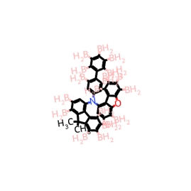 Bc1cc(N(c2cc(B)c(-c3c(B)c(B)c(B)c(B)c3B)c(B)c2)c2cc(B)c(B)c3oc4c(B)c(B)c(B)c(B)c4c23)c2c(c1B)C(C)(C)c1c(B)c(B)c(B)c(B)c1-2